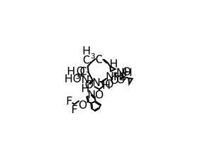 C[C@@H]1CC/C=C\[C@@H]2C[C@@]2(C(=O)NS(=O)(=O)C2CC2)NC(=O)[C@@H]2C[C@@H](Oc3ncc(OCC(F)F)c4ccccc34)CN2C(=O)[C@@H](NC(=O)O)[C@H](C)C1